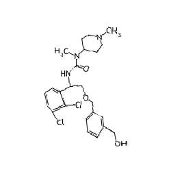 CN1CCC(N(C)C(=O)NC(COCc2cccc(CO)c2)c2cccc(Cl)c2Cl)CC1